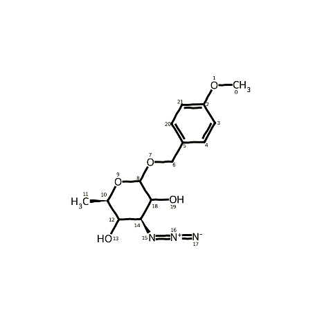 COc1ccc(COC2O[C@H](C)C(O)[C@H](N=[N+]=[N-])C2O)cc1